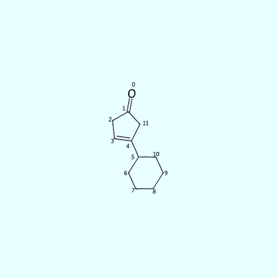 O=C1CC=C(C2CCCCC2)C1